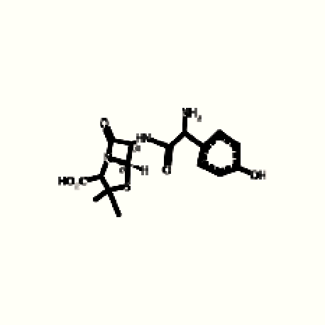 CC1(C)S[C@@H]2[C@H](NC(=O)C(N)c3ccc(O)cc3)C(=O)N2C1C(=O)O